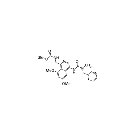 COc1cc(OC)c2c(CNC(=O)OC(C)(C)C)ncc(NC(=O)N(C)Cc3cccnc3)c2c1